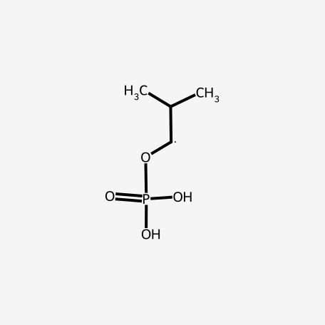 CC(C)[CH]OP(=O)(O)O